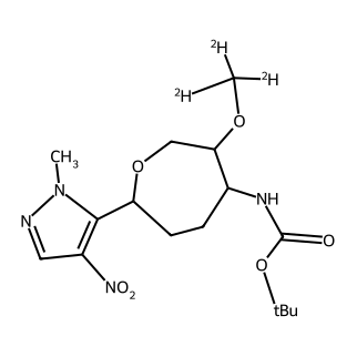 [2H]C([2H])([2H])OC1COC(c2c([N+](=O)[O-])cnn2C)CCC1NC(=O)OC(C)(C)C